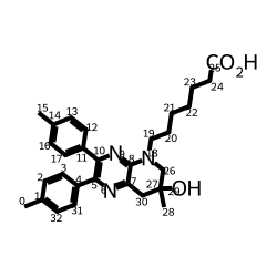 Cc1ccc(-c2nc3c(nc2-c2ccc(C)cc2)N(CCCCCCC(=O)O)CC(C)(O)C3)cc1